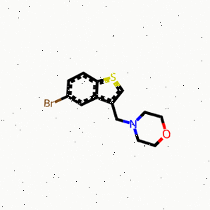 Brc1ccc2scc(CN3CCOCC3)c2c1